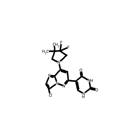 CC1(C)CN(c2cc(-c3c[nH]c(=O)[nH]c3=O)nn3c(Cl)cnc23)CC1(F)F